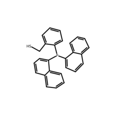 SCc1ccccc1P(c1cccc2ccccc12)c1cccc2ccccc12